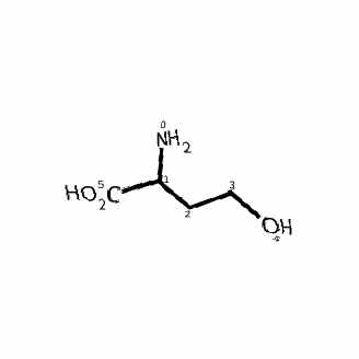 NC(CCO)C(=O)O